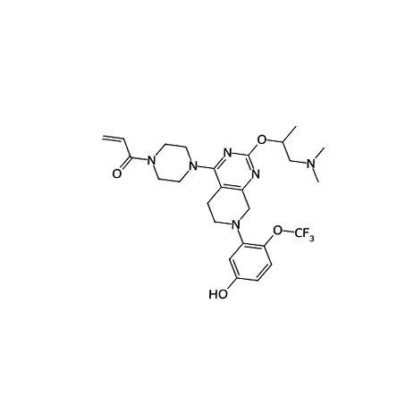 C=CC(=O)N1CCN(c2nc(OC(C)CN(C)C)nc3c2CCN(c2cc(O)ccc2OC(F)(F)F)C3)CC1